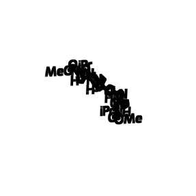 COC(=O)N[C@H](C(=O)N1CCCC1c1ncc(-n2ccc3c(-c4ccc(-c5cnc([C@@H]6CCCN6C(=O)[C@@H](NC(=O)OC)C(C)C)[nH]5)cc4)csc32)[nH]1)C(C)C